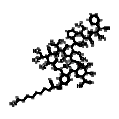 CC[C@H](C)C([C@@H](CC(=O)N1CCC[C@H]1[C@H](OC)[C@@H](C)C(=O)N[C@H](C)[C@@H](O)c1ccccc1)OC)N(C)C(=O)[C@@H](NC(=O)C(C(C)C)N(C)C(=O)OCc1cc(NC(=O)CCCCCCCON)ccc1OC1OC(C(=O)O)C(O)C(O)C1O)C(C)C